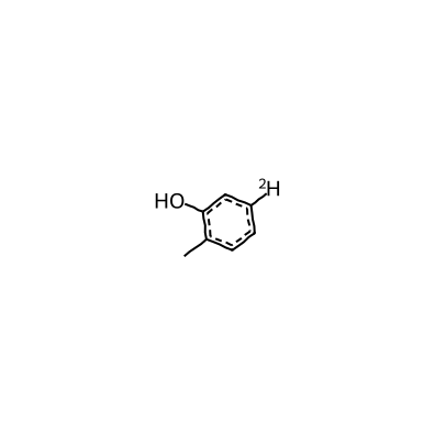 [2H]c1ccc(C)c(O)c1